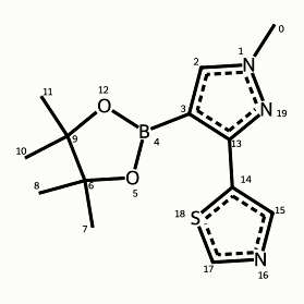 Cn1cc(B2OC(C)(C)C(C)(C)O2)c(-c2cncs2)n1